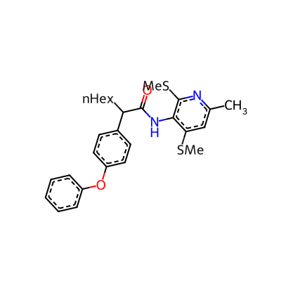 CCCCCCC(C(=O)Nc1c(SC)cc(C)nc1SC)c1ccc(Oc2ccccc2)cc1